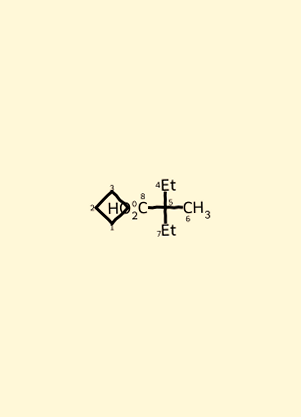 C1CCC1.CCC(C)(CC)C(=O)O